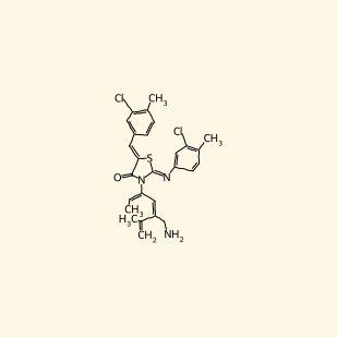 C=C(C)/C(=C\C(=C/C)N1C(=O)/C(=C/c2ccc(C)c(Cl)c2)S/C1=N\c1ccc(C)c(Cl)c1)CN